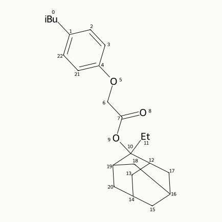 CCC(C)c1ccc(OCC(=O)OC2(CC)C3CC4CC(C3)CC2C4)cc1